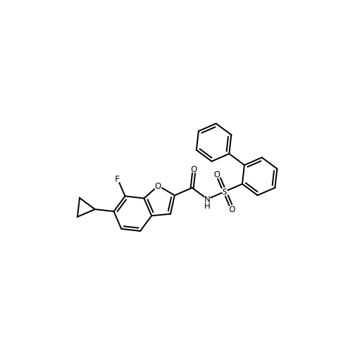 O=C(NS(=O)(=O)c1ccccc1-c1ccccc1)c1cc2ccc(C3CC3)c(F)c2o1